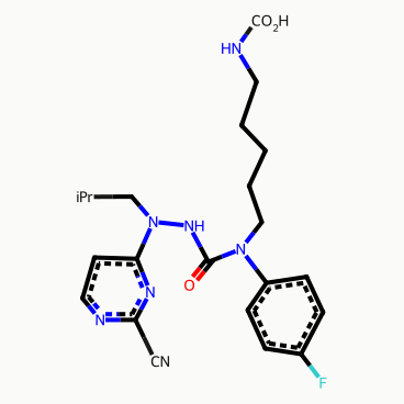 CC(C)CN(NC(=O)N(CCCCCNC(=O)O)c1ccc(F)cc1)c1ccnc(C#N)n1